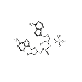 Nc1ncnc2c1ncn2[C@@H]1O[C@H](COP(=O)(O)O)[C@@H](O[PH](=O)OC[C@@H]2C[C@@H](F)[C@H](n3cnc4c(N)ncnc43)O2)[C@H]1F